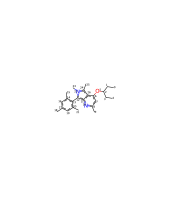 CCC(CC)Oc1cc(C)nc2c(-c3c(C)cc(C)cc3C)n(C)c(C)c12